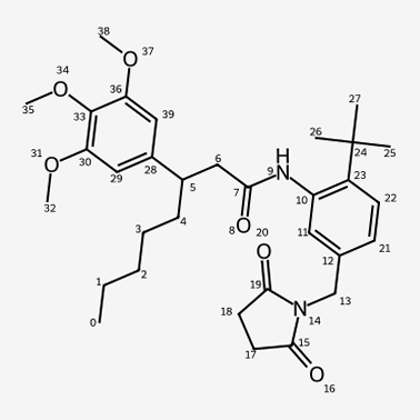 CCCCCC(CC(=O)Nc1cc(CN2C(=O)CCC2=O)ccc1C(C)(C)C)c1cc(OC)c(OC)c(OC)c1